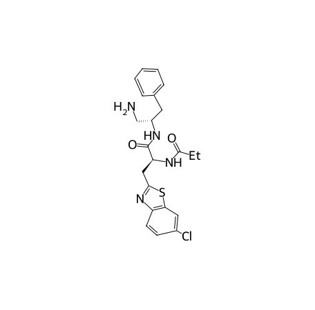 CCC(=O)N[C@@H](Cc1nc2ccc(Cl)cc2s1)C(=O)N[C@H](CN)Cc1ccccc1